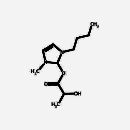 CCCCN1C=CN(C)C1OC(=O)C(C)O